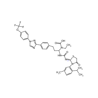 CCN(C(=O)O)C(CCc1ccc(-c2ncn(-c3ccc(OC(F)(F)F)cc3)n2)cc1)NC(=O)/N=C1\SCC(=O)N1c1cc(C)ccc1C(C)C